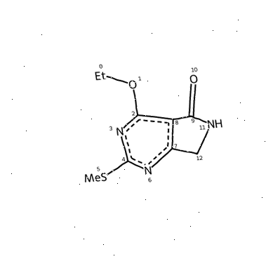 CCOc1nc(SC)nc2c1C(=O)NC2